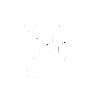 CC(C)C[C@@H](C(=O)NN)[C@H](C(=O)NO)C(CCC1CCCC1)(CC(C)C)C(=O)CC(=O)c1ncc[nH]1